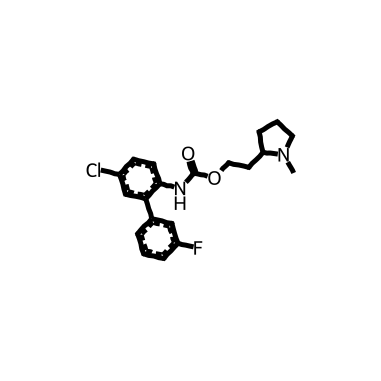 CN1CCCC1CCOC(=O)Nc1ccc(Cl)cc1-c1cccc(F)c1